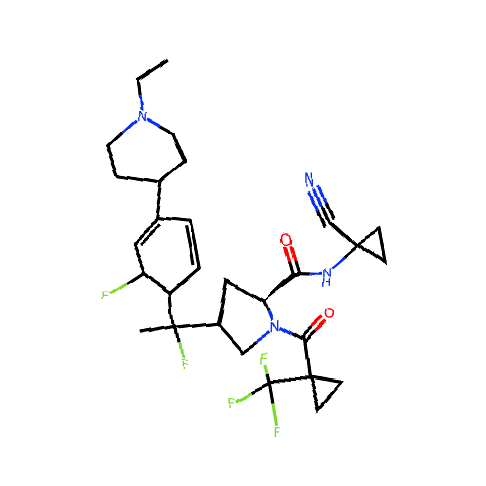 CCN1CCC(C2=CC(F)C(C(C)(F)C3C[C@@H](C(=O)NC4(C#N)CC4)N(C(=O)C4(C(F)(F)F)CC4)C3)C=C2)CC1